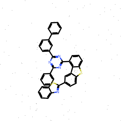 c1ccc(-c2cccc(-c3nc(-c4ccccc4)nc(-c4cccc5sc6ccc(-c7nc8ccccc8s7)cc6c45)n3)c2)cc1